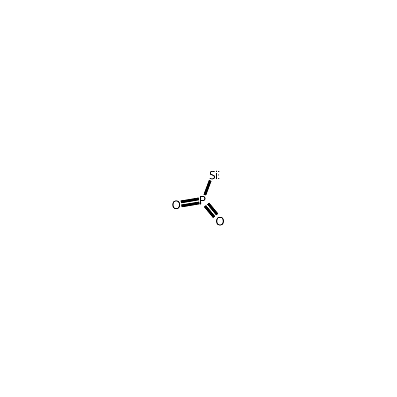 O=P(=O)[Si]